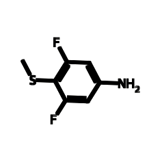 CSc1c(F)cc(N)cc1F